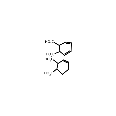 O=C(O)C1C=CC=CC1C(=O)O.O=C(O)C1C=CCCC1C(=O)O